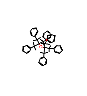 CC(C)(c1ccccc1)C(OC(C(C)(C)c1ccccc1)(C(C)(C)c1ccccc1)C(C)(C)c1ccccc1)(C(C)(C)c1ccccc1)C(C)(C)c1ccccc1